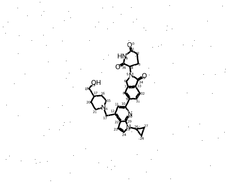 O=C1CCC(N2Cc3cc(-c4cc(CN5CCC(CO)CC5)c5ccn(C6CC6)c5n4)ccc3C2=O)C(=O)N1